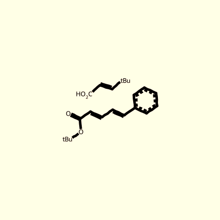 CC(C)(C)C=CC(=O)O.CC(C)(C)OC(=O)C=CC=Cc1ccccc1